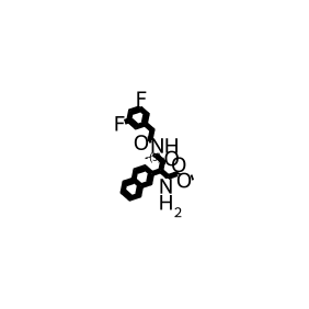 COC(=O)C(N)C(C(=O)[C@H](C)NC(=O)Cc1cc(F)cc(F)c1)c1ccc2ccccc2c1